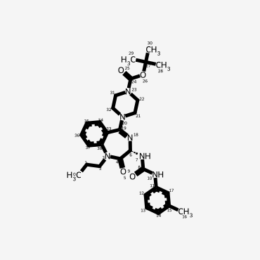 CCCN1C(=O)[C@@H](NC(=O)Nc2cccc(C)c2)N=C(N2CCN(C(=O)OC(C)(C)C)CC2)c2ccccc21